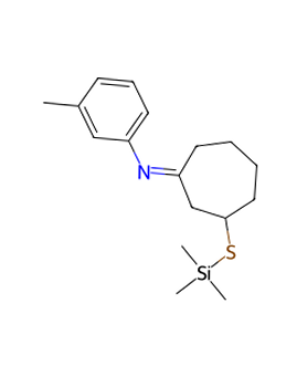 Cc1cccc(/N=C2\CCCCC(S[Si](C)(C)C)C2)c1